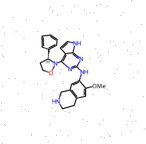 COc1cc2c(cc1Nc1nc(N3OCC[C@H]3c3ccccc3)c3cc[nH]c3n1)CNCC2